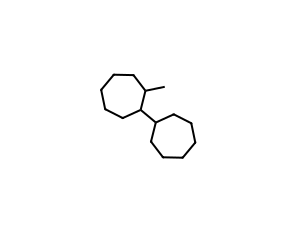 CC1CCCCCC1C1CCCCCC1